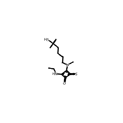 CCNc1c(N(C)CCCCC(C)(C)S)c(=S)c1=O